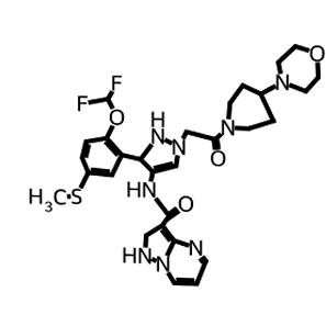 CSc1ccc(OC(F)F)c(C2NN(CC(=O)N3CCC(N4CCOCC4)CC3)C=C2NC(=O)C2=C3N=CC=CN3NC2)c1